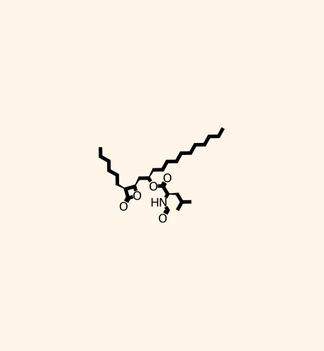 CCCCCCCCCCC[C@H](C[C@H]1OC(=O)[C@H]1CCCCCC)OC(=O)[C@@H](CC(C)C)NC=O